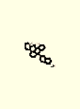 CC1(C)c2ccccc2-c2cccc3c(-c4ccc5cc(C#N)ccc5c4)c4ccccc4c1c23